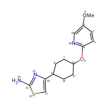 COc1ccc(OC2CCC(c3csc(N)n3)CC2)nc1